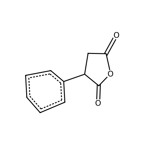 O=C1CC(c2ccccc2)C(=O)O1